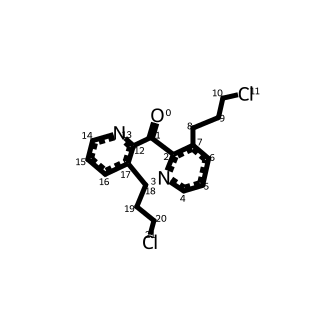 O=C(c1ncccc1CCCCl)c1ncccc1CCCCl